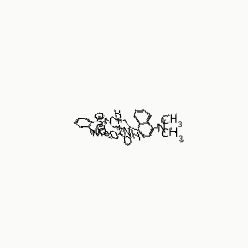 COC(=O)[C@@]12CN(S(=O)(=O)c3ccccc3[N+](=O)[O-])C[C@H]1CC(c1ccc(N(C)C)c3ccccc13)N2